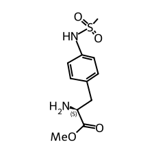 COC(=O)[C@@H](N)Cc1ccc(NS(C)(=O)=O)cc1